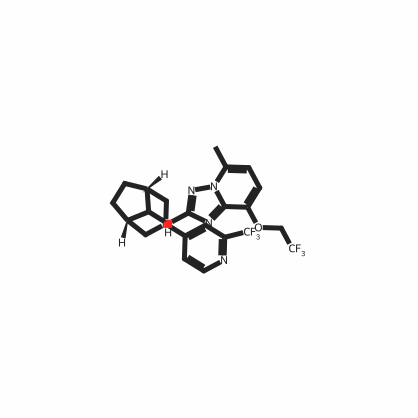 Cc1ccc(OCC(F)(F)F)c2nc(NC3[C@@H]4CC[C@H]3CN(c3ccnc(C(F)(F)F)c3)C4)nn12